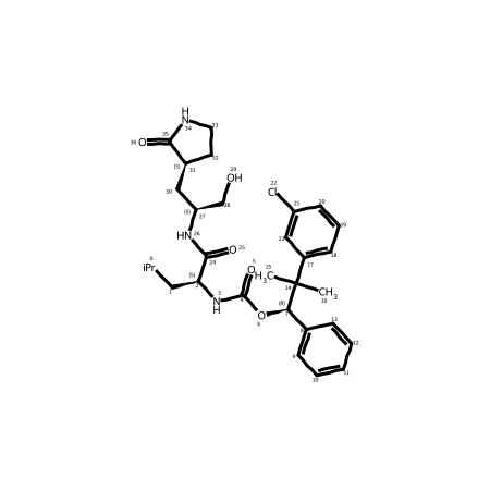 CC(C)C[C@H](NC(=O)O[C@H](c1ccccc1)C(C)(C)c1cccc(Cl)c1)C(=O)N[C@H](CO)C[C@@H]1CCNC1=O